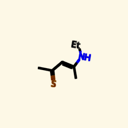 CCNC(C)=CC(C)=S